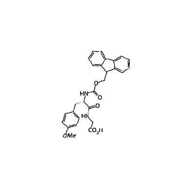 COc1ccc(C[C@H](NC(=O)OCC2c3ccccc3-c3ccccc32)C(=O)NCC(=O)O)cc1